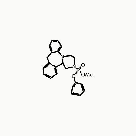 COP(=O)(Oc1ccccc1)N1CCN2c3ccccc3Cc3ccccc3C2C1